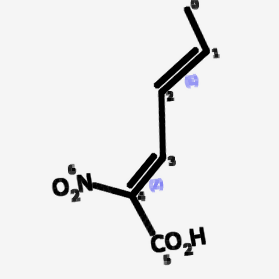 C/C=C/C=C(/C(=O)O)[N+](=O)[O-]